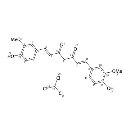 COc1cc(/C=C/C(=O)CC(=O)/C=C/c2ccc(O)c(OC)c2)ccc1O.ClC(Cl)Cl